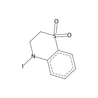 O=S1(=O)CCN(I)c2ccccc21